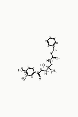 CC(C)(CNC(=O)COc1ccccc1)NCC(=O)c1ccc(O)c(O)c1